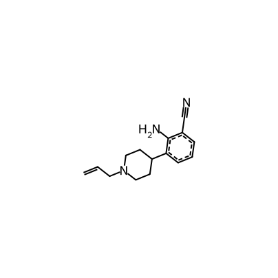 C=CCN1CCC(c2cccc(C#N)c2N)CC1